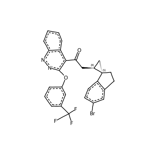 O=C(C[C@H]1C[C@@]12CCc1cc(Br)ccc12)c1c(Oc2cccc(C(F)(F)F)c2)nnc2ccccc12